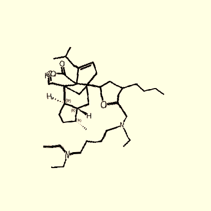 CCCCC1CC(C23C[C@@H]4[C@H](C)CC[C@H]4C4(C=O)CC2C=C(C(C)C)C34C(=O)O)OC1CN(CC)CCCCN(CC)CC